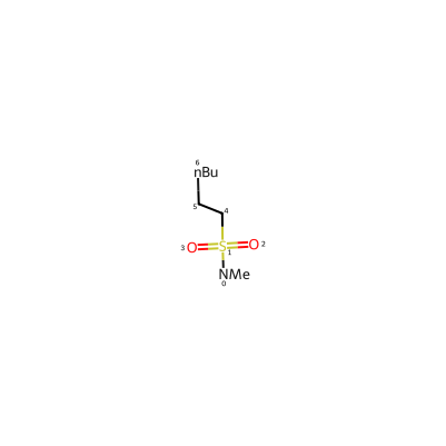 [CH2]NS(=O)(=O)CCCCCC